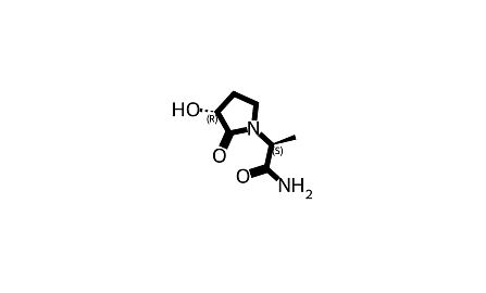 C[C@@H](C(N)=O)N1CC[C@@H](O)C1=O